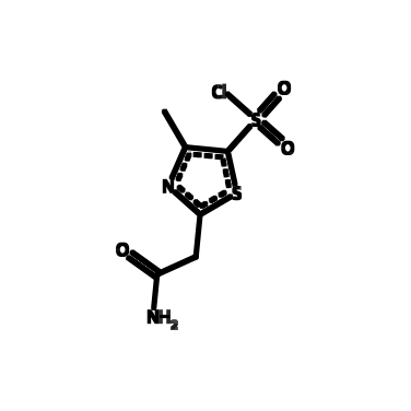 Cc1nc(CC(N)=O)sc1S(=O)(=O)Cl